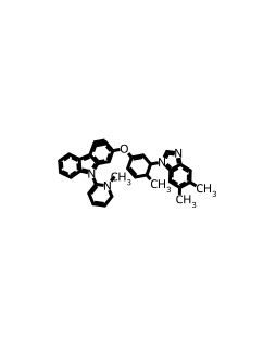 Cc1cc2ncn(C3C=C(Oc4c#cc5c6ccccc6n(C6=CC=CCN6C)c5c4)C=CC3C)c2cc1C